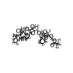 C[C@H](OP(=O)(COC[C@H]1O[C@@H](n2ccc3c(NC4CCCC4)c(C#N)c(Cl)nc32)[C@H](O)[C@@H]1O)Oc1ccccc1)C(=O)OCOC(=O)C(C)(C)C